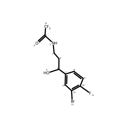 O=C(NCCC(O)c1ccc(F)c(Br)c1)C(F)(F)F